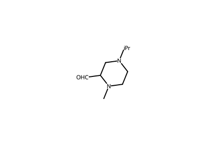 CC(C)N1CCN(C)C(C=O)C1